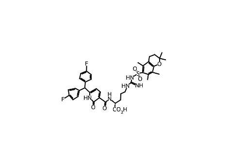 Cc1c(C)c(S(=O)(=O)NC(=N)NCCC[C@H](NC(=O)c2ccc(C(c3ccc(F)cc3)c3ccc(F)cc3)[nH]c2=O)C(=O)O)c(C)c2c1OC(C)(C)CC2